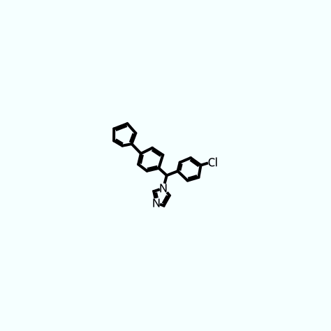 Clc1ccc(C(c2ccc(-c3ccccc3)cc2)n2ccnc2)cc1